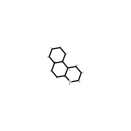 C1CCC2C(C1)CCC1OCCCC12